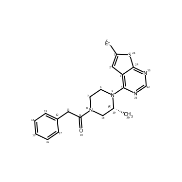 CCc1cc2c(N3CCN(C(=O)Cc4ccccc4)C[C@H]3C)ncnc2s1